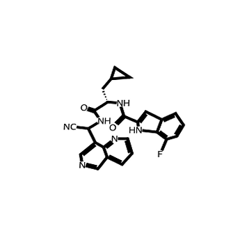 N#CC(NC(=O)[C@H](CC1CC1)NC(=O)c1cc2cccc(F)c2[nH]1)c1cncc2cccnc12